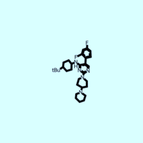 CC(C)(C)C1CCC(Nc2nc(N3CCC(N4CCCCC4)CC3)ncc2-c2ccc(F)cc2F)CC1